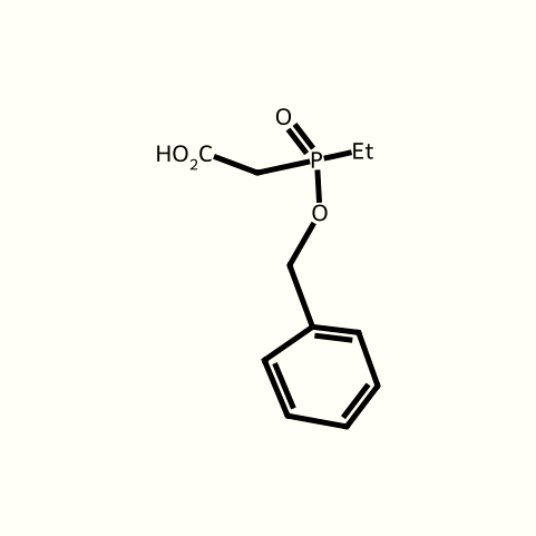 CCP(=O)(CC(=O)O)OCc1ccccc1